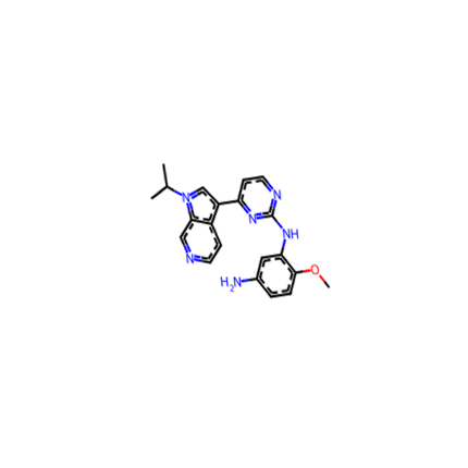 COc1ccc(N)cc1Nc1nccc(-c2cn(C(C)C)c3cnccc23)n1